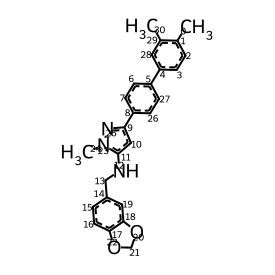 Cc1ccc(-c2ccc(-c3cc(NCc4ccc5c(c4)OCO5)n(C)n3)cc2)cc1C